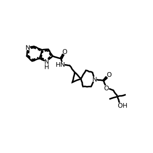 CC(C)(O)COC(=O)N1CCC2(CC1)CC2CNC(=O)c1cc2cnccc2[nH]1